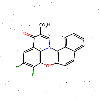 O=C(O)c1cn2c3c(c(F)c(F)cc3c1=O)Oc1ccc3ccccc3c1-2